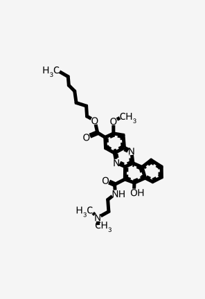 CCCCCCCOC(=O)c1cc2nc3c(C(=O)NCCN(C)C)c(O)c4ccccc4c3nc2cc1OC